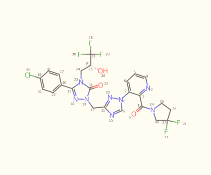 O=C(c1ncccc1-n1cnc(Cn2nc(-c3ccc(Cl)cc3)n(C[C@@H](O)C(F)(F)F)c2=O)n1)N1CCC(F)(F)C1